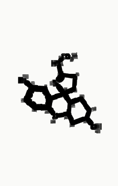 O=C(O)NC1=NC2(CS1)c1cc(Br)ccc1OC1CC(O)CCC12